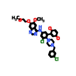 COCCOc1cc2ncnc(Nc3cc(Cl)c(N4CCN(Cc5cccc(Cl)c5)CC4)c(C4=CC(=O)C=CC4=O)c3)c2cc1OC